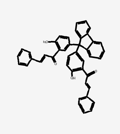 O=C(C=Cc1ccccc1)c1cc(C2(c3ccc(O)c(C(=O)C=Cc4ccccc4)c3)c3ccccc3-c3ccccc32)ccc1O